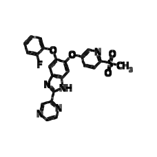 CS(=O)(=O)c1ccc(Oc2cc3[nH]c(-c4cnccn4)nc3cc2Oc2ccccc2F)cn1